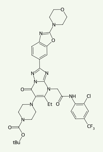 CCc1c(N2CCN(C(=O)OC(C)(C)C)CC2)c(=O)n2nc(-c3ccc4nc(N5CCOCC5)oc4c3)nc2n1CC(=O)Nc1ccc(C(F)(F)F)cc1Cl